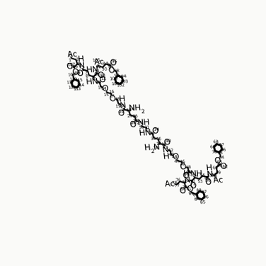 CC(=O)CCC(NC(=O)CCC(NC(=O)COCCOCCNC(=O)C(N)CCC(=O)NCCNC(=O)CCC(N)C(=O)NCCOCCOCC(=O)NC(CCC(=O)NC(CCC(=O)OCc1ccccc1)C(C)=O)C(=O)NC(CCC(C)=O)C(=O)OCc1ccccc1)C(=O)NC(CCC(=O)OCc1ccccc1)C(C)=O)C(=O)OCc1ccccc1